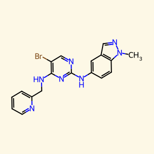 Cn1ncc2cc(Nc3ncc(Br)c(NCc4ccccn4)n3)ccc21